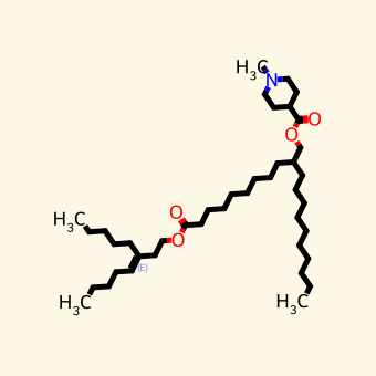 CCCC/C=C(\CCCCC)CCOC(=O)CCCCCCCCC(CCCCCCCCCC)COC(=O)C1CCN(C)CC1